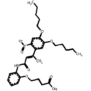 CCCCCOc1cc(/C(C)=C/C(=O)Nc2ccccc2OCCCC(=O)O)c([N+](=O)[O-])cc1OCCCCC